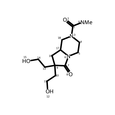 CNC(=O)N1CCN2C(=O)C(CCO)(CCO)CC2C1